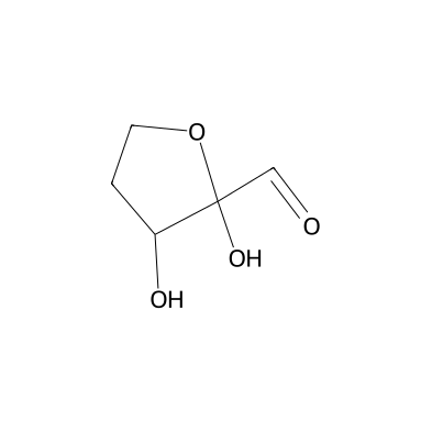 O=CC1(O)OCCC1O